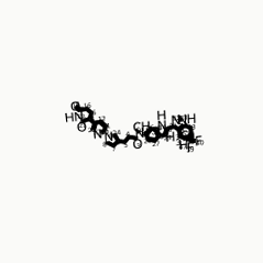 CN(C(=O)CCC1CCN(c2ccc(C3CCC(=O)NC3=O)cn2)C1)c1ccc2cc(-c3n[nH]c4c3C[C@@H]3C(F)(F)[C@]3(C)C4)[nH]c2c1